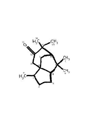 CC1CCC2C(C)(C)C3CC12CC(=O)C3(C)C